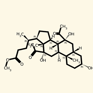 COC(=O)CC[C@@H](C)[C@H]1CC[C@H]2[C@H]3[C@H](C[C@@](O)(C(C)=O)[C@]12C)[C@@]1(C)CC[C@@H](O)C[C@H]1C[C@]3(O)C(C)=O